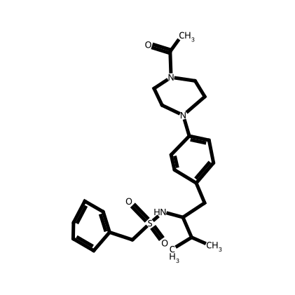 CC(=O)N1CCN(c2ccc(CC(NS(=O)(=O)Cc3ccccc3)C(C)C)cc2)CC1